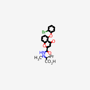 CC(C)[C@@H](C(=O)O)N(C)NC(=O)c1cc(=O)c2c(Oc3ccccc3Br)cccc2o1